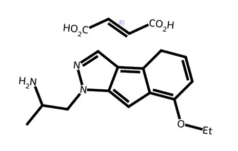 CCOC1=C2C=c3c(cnn3CC(C)N)=C2CC=C1.O=C(O)/C=C/C(=O)O